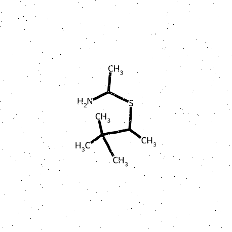 CC(N)SC(C)C(C)(C)C